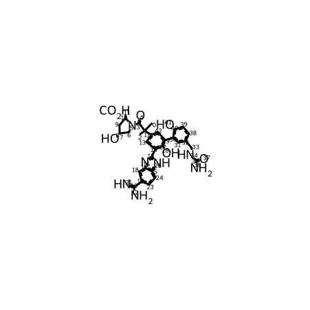 CC(C)(C(=O)N1CC(O)CC1C(=O)O)c1cc(-c2nc3cc(C(=N)N)ccc3[nH]2)c(O)c(-c2cc(CNC(N)=O)ccc2O)c1